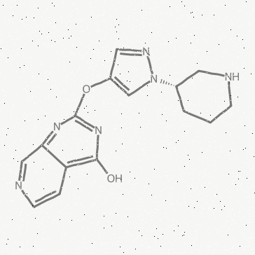 Oc1nc(Oc2cnn([C@H]3CCCNC3)c2)nc2cnccc12